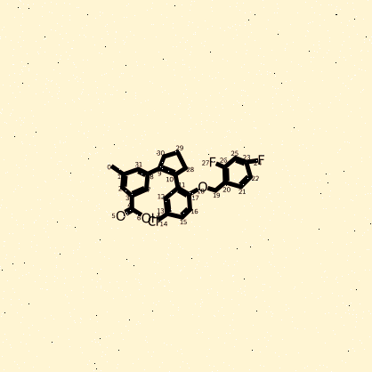 Cc1cc(C(=O)O)cc(C2=C(c3cc(Cl)ccc3OCc3ccc(F)cc3F)CCC2)c1